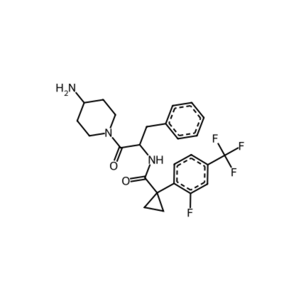 NC1CCN(C(=O)C(Cc2ccccc2)NC(=O)C2(c3ccc(C(F)(F)F)cc3F)CC2)CC1